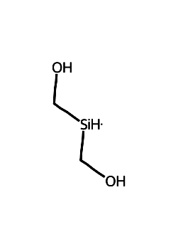 OC[SiH]CO